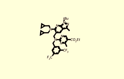 CCOC(=O)c1cnc(N(Cc2cc(C(F)(F)F)cc(C(F)(F)F)c2)Cc2cc3c(C)nn(C(C)(C)C)c3nc2N(CC2CC2)CC2CC2)nc1C